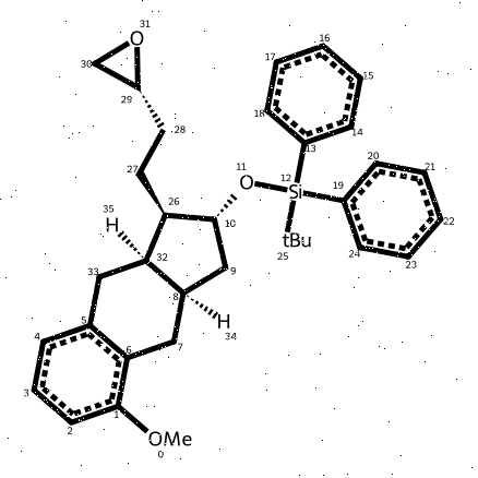 COc1cccc2c1C[C@@H]1C[C@@H](O[Si](c3ccccc3)(c3ccccc3)C(C)(C)C)[C@H](CC[C@@H]3CO3)[C@@H]1C2